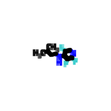 CC(C)CCNc1c(F)cnc(F)c1F